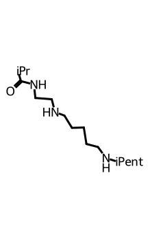 CCCC(C)NCCCCCNCCNC(=O)C(C)C